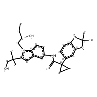 CC[C@H](O)Cn1c(C(C)(C)CO)cc2cc(NC(=O)C3(c4ccc5c(c4)OC(F)(F)O5)CC3)ccc21